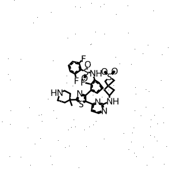 CC1(c2nc(-c3cccc(NS(=O)(=O)c4c(F)cccc4F)c3F)c(-c3ccnc(NC4CC5(C4)CS(=O)(=O)C5)n3)s2)CCNCC1